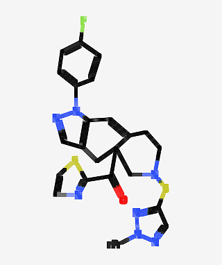 CCCn1ncc(SN2CCC3=Cc4c(cnn4-c4ccc(F)cc4)CC3(C(=O)c3nccs3)C2)n1